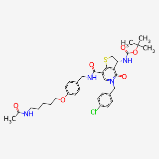 CC(=O)NCCCCCOc1ccc(CNC(=O)c2cn(Cc3ccc(Cl)cc3)c(=O)c3c2SC[C@@H]3NC(=O)OC(C)(C)C)cc1